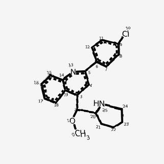 COC(c1cc(-c2ccc(Cl)cc2)nc2ccccc12)C1CCCCN1